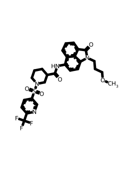 COCCCN1C(=O)c2cccc3c(NC(=O)C4CCCN(S(=O)(=O)c5ccc(C(F)(F)F)nc5)C4)ccc1c23